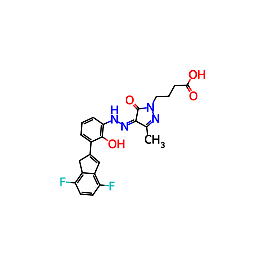 CC1=NN(CCCC(=O)O)C(=O)/C1=N\Nc1cccc(C2=Cc3c(F)ccc(F)c3C2)c1O